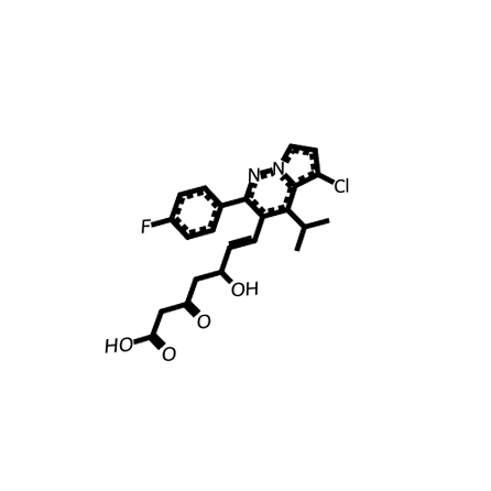 CC(C)c1c(C=CC(O)CC(=O)CC(=O)O)c(-c2ccc(F)cc2)nn2ccc(Cl)c12